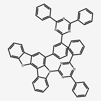 c1ccc(-c2nc(-c3ccccc3)nc(-c3cccc(-c4cc5c6ccccc6oc5c5c6ccccc6n(-c6nc(-c7ccccc7)nc(-c7ccccc7)n6)c45)c3)n2)cc1